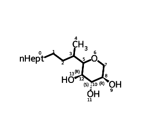 CCCCCCCCCC(C)C1OC[C@@H](O)[C@H](O)[C@H]1O